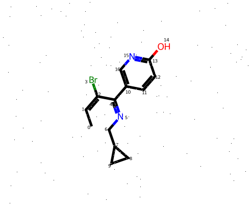 C/C=C(Br)\C(=N/CC1CC1)c1ccc(O)nc1